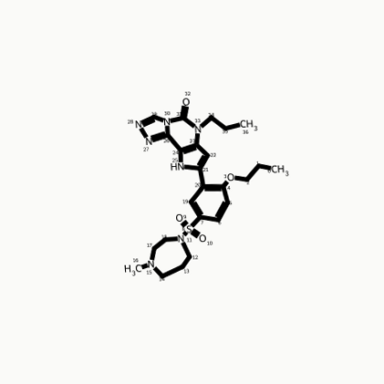 CCCOc1ccc(S(=O)(=O)N2CCCN(C)CC2)cc1-c1cc2c([nH]1)c1nncn1c(=O)n2CCC